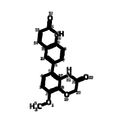 COc1ccc(-c2ccc3[nH]c(=O)ccc3c2)c2c1OCC(=O)N2